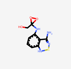 NC1=NSNc2cccc(NC3(CO)OO3)c21